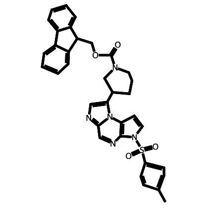 Cc1ccc(S(=O)(=O)n2ccc3c2ncc2ncc(C4CCCN(C(=O)OCC5c6ccccc6-c6ccccc65)C4)n23)cc1